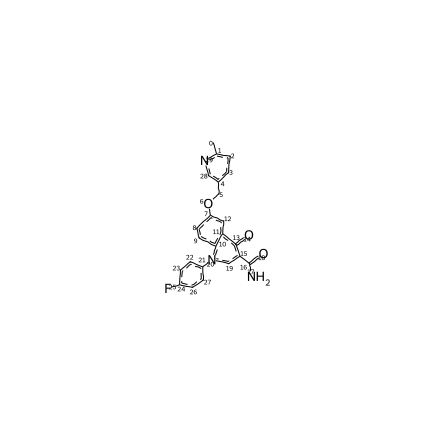 Cc1ccc(COc2ccc3c(c2)c(=O)c(C(N)=O)cn3-c2ccc(F)cc2)cn1